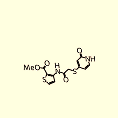 COC(=O)c1sccc1NC(=O)CSc1cc[nH]c(=O)c1